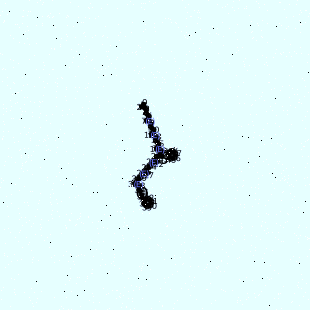 CC(C)=CCC/C(C)=C/CC/C(C)=C/CC/C(C)=C/C(C/C(C)=C/CC/C(C)=C/CC/C(C)=C/COCc1ccccc1)Sc1ccccc1